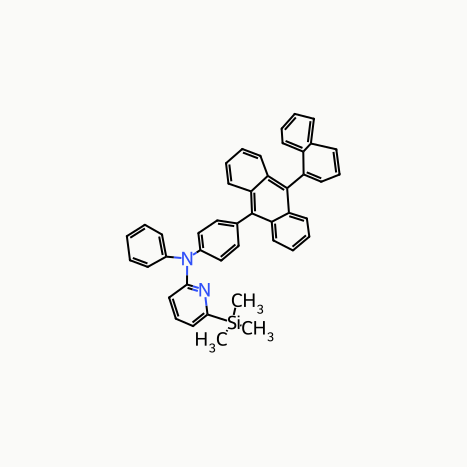 C[Si](C)(C)c1cccc(N(c2ccccc2)c2ccc(-c3c4ccccc4c(-c4cccc5ccccc45)c4ccccc34)cc2)n1